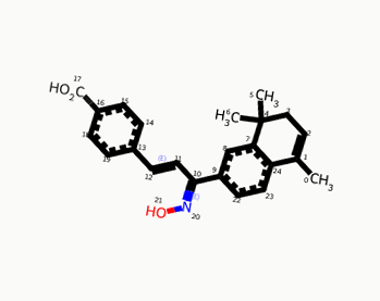 CC1=CCC(C)(C)c2cc(C(/C=C/c3ccc(C(=O)O)cc3)=N/O)ccc21